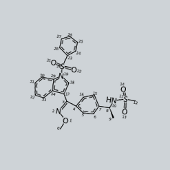 CON=C(c1ccc([C@H](C)NS(C)(=O)=O)cc1)c1cn(S(=O)(=O)c2ccccc2)c2ccccc12